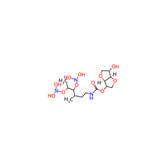 CC(CCNC(=O)O[C@@H]1CO[C@H]2[C@@H]1OC[C@H]2O)C(ON(O)O)C(C)ON(O)O